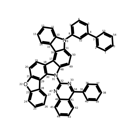 c1ccc(-c2cccc(-n3c4ccccc4c4c5c6ccc7oc8ccccc8c7c6n(-c6nc(-c7ccccc7)c7ccccc7n6)c5ccc43)c2)cc1